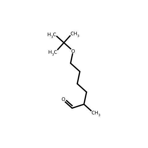 CC(C=O)CCCCOC(C)(C)C